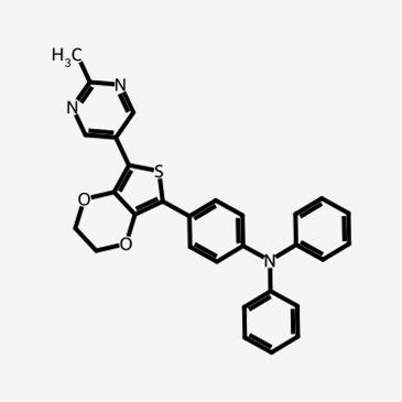 Cc1ncc(-c2sc(-c3ccc(N(c4ccccc4)c4ccccc4)cc3)c3c2OCCO3)cn1